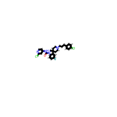 O=C(Nc1ccnc(Cl)c1)N1CC2(CCN(CC=Cc3ccc(Cl)cc3)CC2)c2cc(F)ccc21